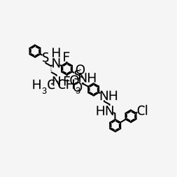 CN(C)CC[C@H](CSc1ccccc1)Nc1cc(F)c(S(=O)(=O)NC(=O)c2ccc(NCCNCc3ccccc3-c3ccc(Cl)cc3)cc2)cc1F